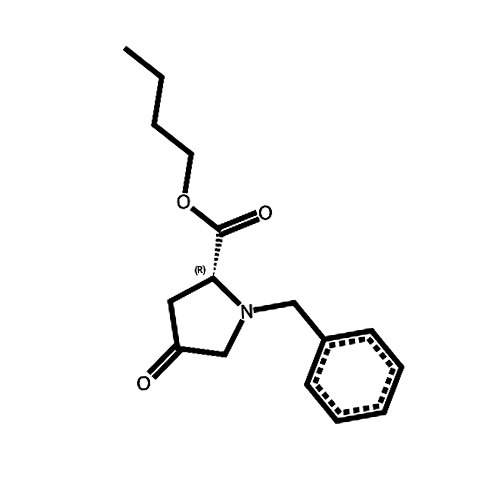 CCCCOC(=O)[C@H]1CC(=O)CN1Cc1ccccc1